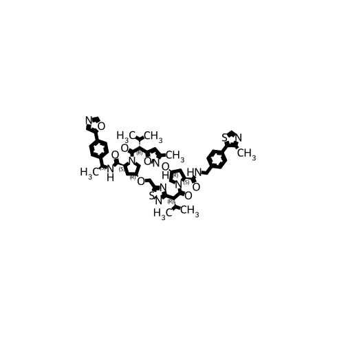 Cc1cc([C@H](C(=O)N2C[C@H](OCc3nc([C@H](C(=O)N4C[C@H](O)C[C@H]4C(=O)NCc4ccc(-c5scnc5C)cc4)C(C)C)ns3)C[C@H]2C(=O)N[C@@H](C)c2ccc(-c3cnco3)cc2)C(C)C)on1